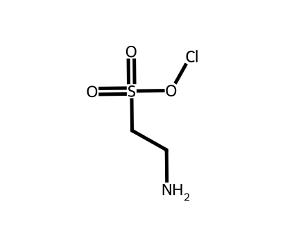 NCCS(=O)(=O)OCl